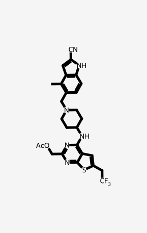 CC(=O)OCc1nc(NC2CCN(Cc3ccc4[nH]c(C#N)cc4c3C)CC2)c2cc(CC(F)(F)F)sc2n1